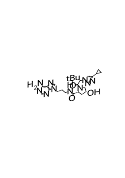 CC(C)(C)[C@@H](C(=O)N1C[C@H](O)C[C@H]1C(=O)NCCCn1cnc2c(N)ncnc21)n1cc(C2CC2)nn1